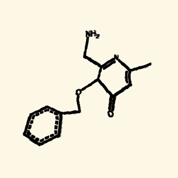 CC1=CC(=O)C(OCc2ccccc2)C(CN)=N1